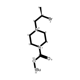 C[C@@H](Br)CN1CCN(C(=O)OC(C)(C)C)CC1